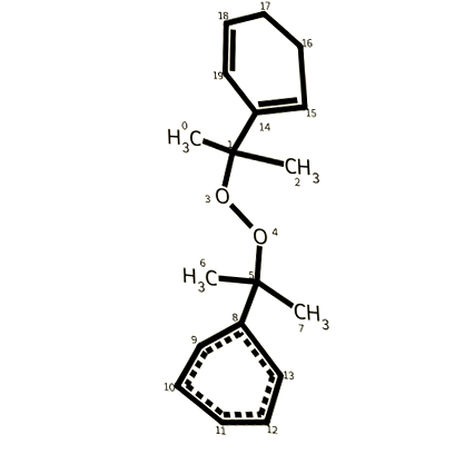 CC(C)(OOC(C)(C)c1ccccc1)C1=CCCC=C1